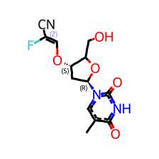 Cc1cn([C@H]2C[C@H](O/C=C(\F)C#N)C(CO)O2)c(=O)[nH]c1=O